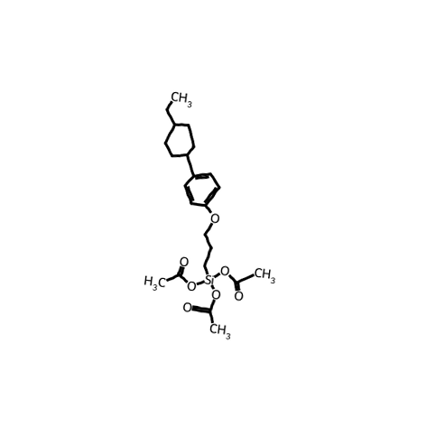 CCC1CCC(c2ccc(OCCC[Si](OC(C)=O)(OC(C)=O)OC(C)=O)cc2)CC1